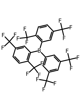 FC(F)(F)c1cc(B(c2cc(C(F)(F)F)ccc2C(F)(F)F)c2cc(C(F)(F)F)ccc2C(F)(F)F)cc(C(F)(F)F)c1